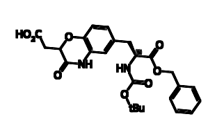 CC(C)(C)OC(=O)N[C@@H](Cc1ccc2c(c1)NC(=O)C(CC(=O)O)O2)C(=O)OCc1ccccc1